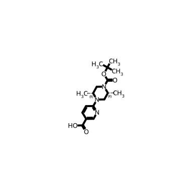 C[C@@H]1CN(c2ccc(C(=O)O)cn2)[C@H](C)CN1C(=O)OC(C)(C)C